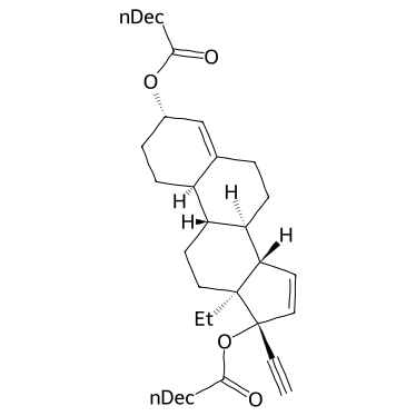 C#C[C@]1(OC(=O)CCCCCCCCCC)C=C[C@H]2[C@@H]3CCC4=C[C@@H](OC(=O)CCCCCCCCCC)CC[C@@H]4[C@H]3CC[C@@]21CC